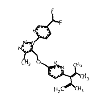 C=C(C)C(=C(C)C)c1ccc(OCc2c(C)nnn2-c2ccc(C(F)F)cn2)nn1